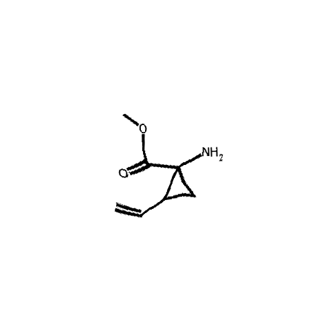 C=CC1CC1(N)C(=O)OC